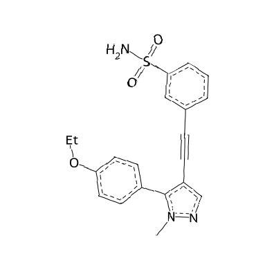 CCOc1ccc(-c2c(C#Cc3cccc(S(N)(=O)=O)c3)cnn2C)cc1